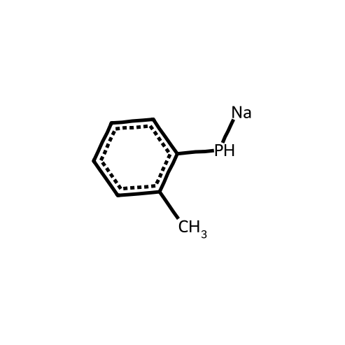 Cc1ccccc1[PH][Na]